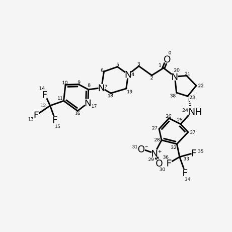 O=C(CCN1CCN(c2ccc(C(F)(F)F)cn2)CC1)N1CC[C@H](Nc2ccc([N+](=O)[O-])c(C(F)(F)F)c2)C1